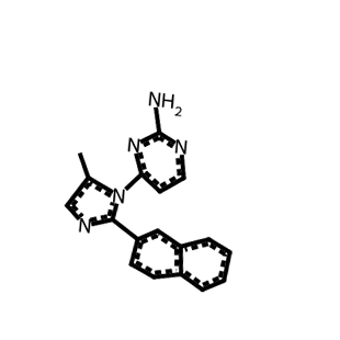 Cc1cnc(-c2ccc3ccccc3c2)n1-c1ccnc(N)n1